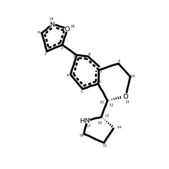 c1cc(-c2ccc3c(c2)CCO[C@@H]3[C@@H]2CCCN2)on1